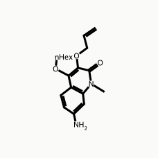 C=CCOc1c(OCCCCCC)c2ccc(N)cc2n(C)c1=O